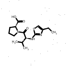 CCc1csc(N[C@H](C(=O)N2CCC[C@H]2C(=O)O)C(C)C)n1